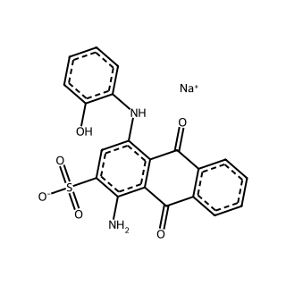 Nc1c(S(=O)(=O)[O-])cc(Nc2ccccc2O)c2c1C(=O)c1ccccc1C2=O.[Na+]